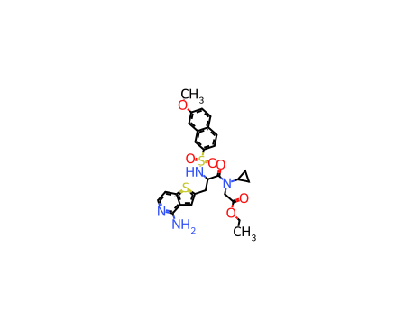 CCOC(=O)CN(C(=O)C(Cc1cc2c(N)nccc2s1)NS(=O)(=O)c1ccc2ccc(OC)cc2c1)C1CC1